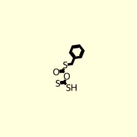 O=C(OC(=S)S)SCc1ccccc1